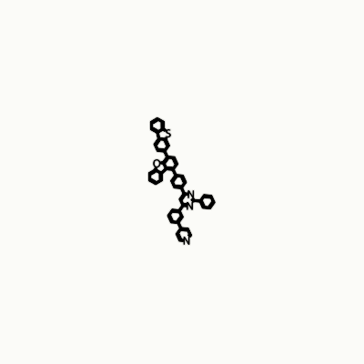 c1ccc(-c2nc(-c3ccc(-c4ccc(-c5ccc6c(c5)sc5ccccc56)c5oc6ccccc6c45)cc3)cc(-c3cccc(-c4ccncc4)c3)n2)cc1